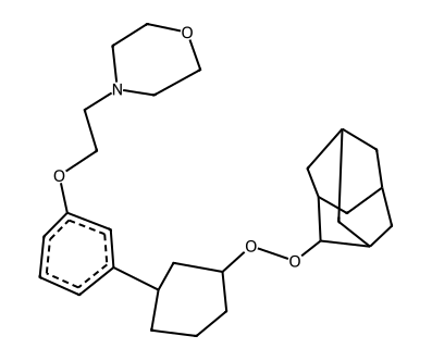 c1cc(OCCN2CCOCC2)cc(C2CCCC(OOC3C4CC5CC(C4)CC3C5)C2)c1